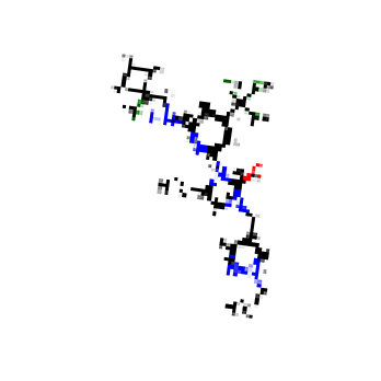 CCn1cc(Cn2cc(C)n(-c3cc(C(F)(F)F)cc(NCC4(F)CCC4)n3)c2=O)cn1